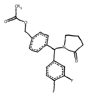 CC(=O)OCc1ccc(C(c2ccc(F)c(F)c2)N2CCCC2=O)cc1